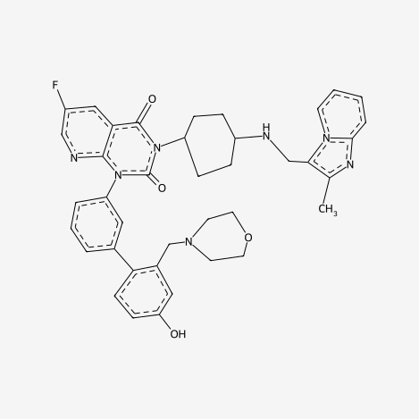 Cc1nc2ccccn2c1CNC1CCC(n2c(=O)c3cc(F)cnc3n(-c3cccc(-c4ccc(O)cc4CN4CCOCC4)c3)c2=O)CC1